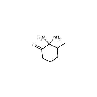 CC1CCCC(=O)C1(N)N